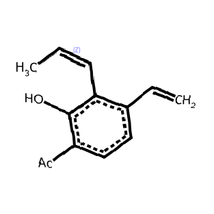 C=Cc1ccc(C(C)=O)c(O)c1/C=C\C